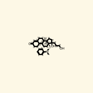 CN(C)c1ccccc1[C@H]1C[C@]2(C)[C@@H](CC[C@]2(O)CCCO)[C@@H]2CCC3=CC(=O)CCC3=C21